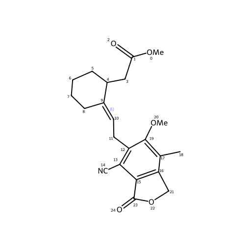 COC(=O)CC1CCCC/C1=C\Cc1c(C#N)c2c(c(C)c1OC)COC2=O